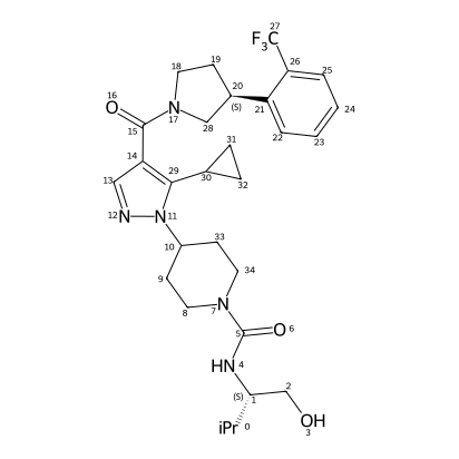 CC(C)[C@@H](CO)NC(=O)N1CCC(n2ncc(C(=O)N3CC[C@@H](c4ccccc4C(F)(F)F)C3)c2C2CC2)CC1